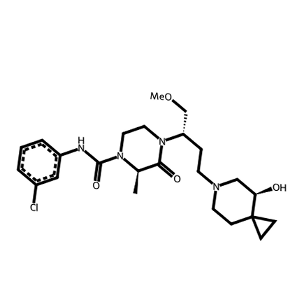 COC[C@H](CCN1CCC2(CC2)[C@H](O)C1)N1CCN(C(=O)Nc2cccc(Cl)c2)[C@H](C)C1=O